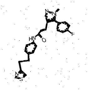 Cn1ncc(C=CC(=O)Nc2ccc(CCc3cscn3)cc2)c1-c1ccc(F)cc1